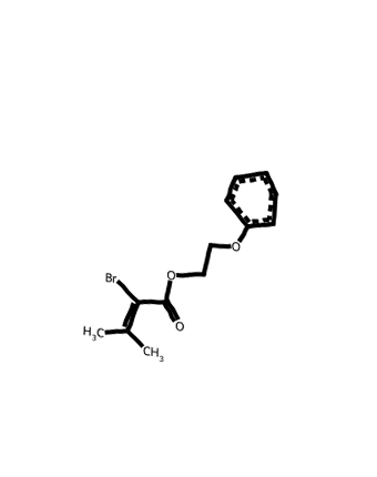 CC(C)=C(Br)C(=O)OCCOc1ccccc1